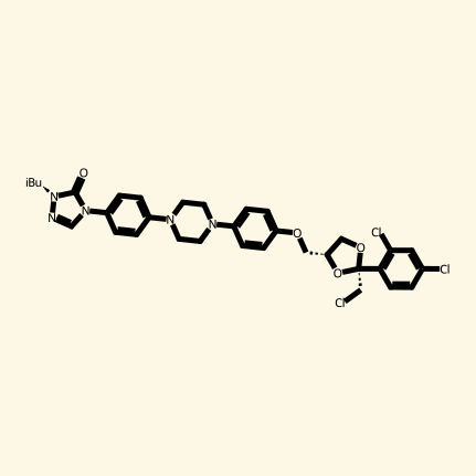 CC[C@@H](C)n1ncn(-c2ccc(N3CCN(c4ccc(OC[C@@H]5CO[C@@](CCl)(c6ccc(Cl)cc6Cl)O5)cc4)CC3)cc2)c1=O